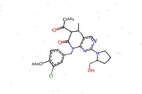 COC(=O)C1C(=O)N(Cc2ccc(OC)c(Cl)c2)c2nc(N3CCCC3CO)ncc2C1C